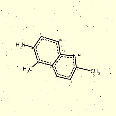 Cc1ccc2c(C)c(N)ccc2n1